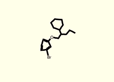 CCCC(COc1cccc(Br)c1)C1CCCCC1